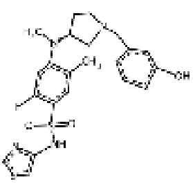 Cc1cc(S(=O)(=O)Nc2cscn2)c(F)cc1N(C)[C@H]1CCN(Cc2cccc(O)c2)C1